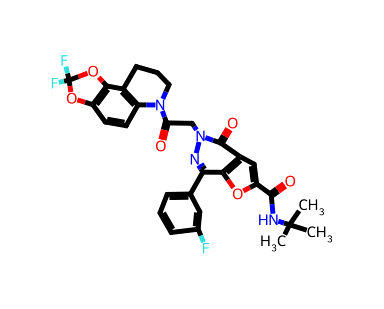 CC(C)(C)NC(=O)c1cc2c(=O)n(CC(=O)N3CCCc4c3ccc3c4OC(F)(F)O3)nc(-c3cccc(F)c3)c2o1